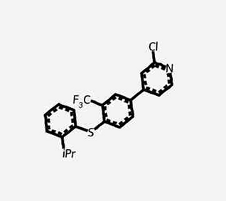 CC(C)c1ccccc1Sc1ccc(-c2ccnc(Cl)c2)cc1C(F)(F)F